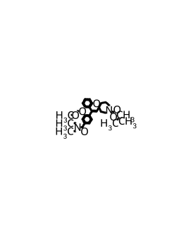 CCN(CC)C(=O)c1ccc(C2=CC3(CCCN(C(=O)OC(C)(C)C)CC3)Oc3cccc(OCOC)c32)cc1